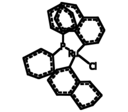 [Cl][Ru]([c]1cccc2ccccc12)([c]1cccc2ccccc12)[P](c1ccccc1)c1ccccc1